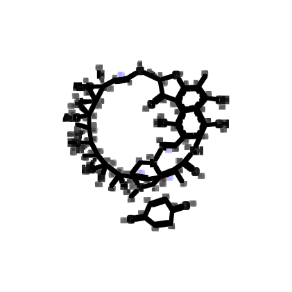 CO[C@H]1/C=C/O[C@@]2(C)Oc3c(C)c(O)c4c(O)c(c(/C=N/N5CCN(C)CC5)c(O)c4c3C2=O)NC(=O)/C(C)=C\C=C\[C@H](C)[C@H](O)[C@@H](C)[C@@H](O)[C@@H](C)[C@H](OC(C)=O)[C@@H]1C.O=C1C=CC(=O)C=C1